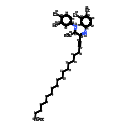 CCCCCCCCCCCCCCCCCCCCCCCCCCC#CC(=Nc1ccc(CC)c(CC)c1)C(CCCC)=Nc1ccc(CC)c(CC)c1